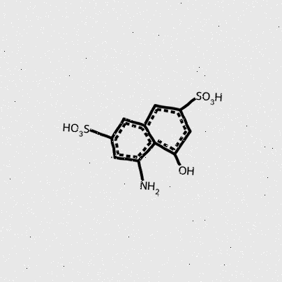 Nc1[c]c(S(=O)(=O)O)cc2cc(S(=O)(=O)O)cc(O)c12